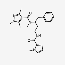 Cc1nn(C)c(C)c1C(=O)N(C)C(CCNC(=O)c1cccn1C)Cc1ccccc1